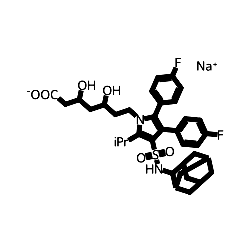 CC(C)c1c(S(=O)(=O)NC2C3CC4CC(C3)CC2C4)c(-c2ccc(F)cc2)c(-c2ccc(F)cc2)n1CCC(O)CC(O)CC(=O)[O-].[Na+]